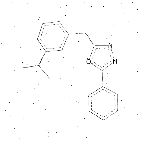 CC(C)c1cccc(Cc2nnc(-c3ccccc3)o2)c1